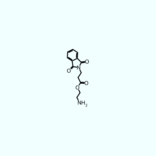 NCCOC(=O)CCN1C(=O)c2ccccc2C1=O